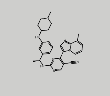 Cc1cccn2c(-c3nc(N[C@@H](C)c4cccc(NC5CCN(C)CC5)c4)ncc3C#N)cnc12